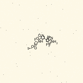 COc1ncc(-c2cc(C(F)(F)F)c3c(N)ncnn23)cc1C(=O)N[C@@H]1CN(C(=O)OCC2CC2)C[C@@H]1F